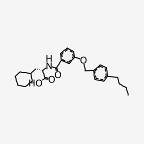 CCCCc1ccc(COc2cccc(C(=O)N[C@@H](CC3CCCCC3)C(=O)O)c2)cc1